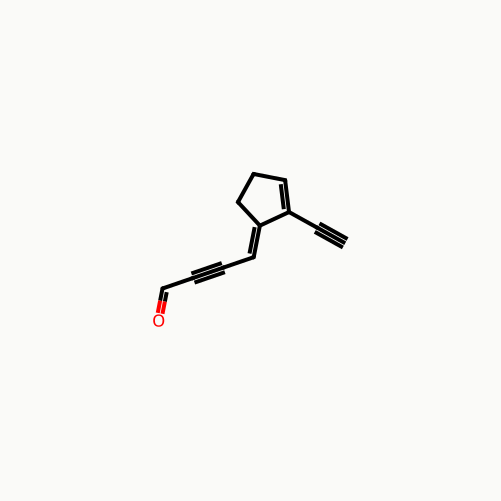 C#CC1=CCCC1=CC#CC=O